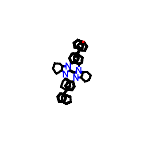 C1=CCCC(C2=CC=C(N3C(=C4N(c5ccc(-c6ccccc6)cc5)C5CCCCC5N4c4ccc(-c5ccccc5)cc4)N(c4ccc(-c5ccccc5)cc4)C4CCCCC43)CC2)=C1